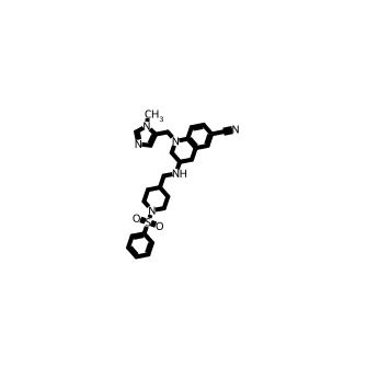 Cn1cncc1CN1CC(NCC2CCN(S(=O)(=O)c3ccccc3)CC2)Cc2cc(C#N)ccc21